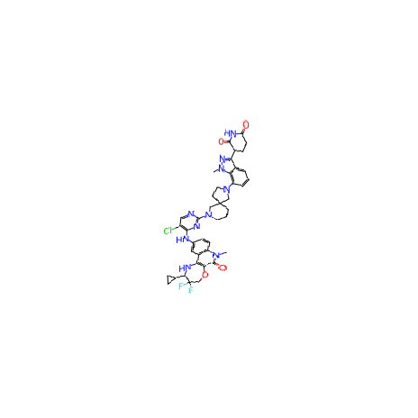 Cn1nc(C2CCC(=O)NC2=O)c2cccc(N3CCC4(CCCN(c5ncc(Cl)c(Nc6ccc7c(c6)c6c(c(=O)n7C)OCC(F)(F)C(C7CC7)N6)n5)C4)C3)c21